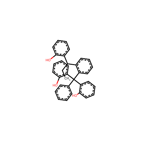 CCC(c1ccccc1O)c1ccccc1C(c1ccccc1)(c1ccccc1O)c1ccccc1O